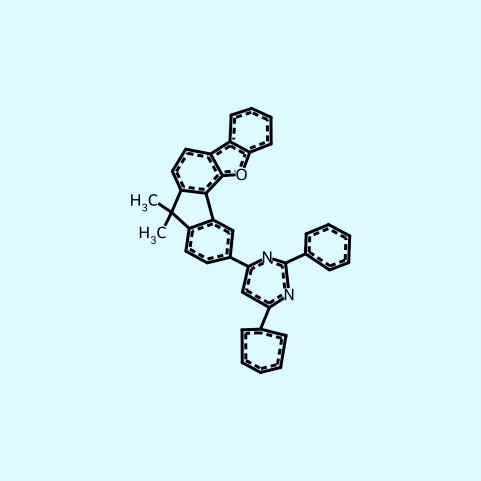 CC1(C)c2ccc(-c3cc(-c4ccccc4)nc(-c4ccccc4)n3)cc2-c2c1ccc1c2oc2ccccc21